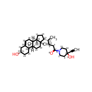 C#CC1(O)CCN(C(=O)CCC(C)[C@H]2CC[C@H]3[C@@H]4CC=C5C[C@@H](O)CC[C@]5(C)[C@H]4CC[C@]23C)CC1